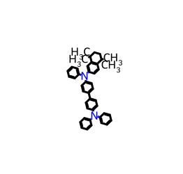 CC1(C)CCC(C)(C)c2cc(N(c3ccccc3)c3ccc(-c4ccc(N(c5ccccc5)c5ccccc5)cc4)cc3)ccc21